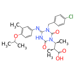 Cc1cc(/N=c2\[nH]c(=O)n([C@@H](C)[C@H](C)C(=O)O)c(=O)n2Cc2ccc(Cl)cc2)ccc1OC(C)C